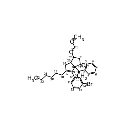 C=C(c1ccccc1)C12C(c3cccc(Br)c3)=C(CCCCCC)CC1C(OCOC)CC2O